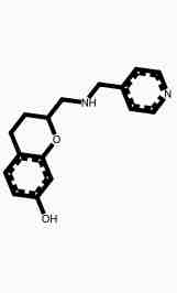 Oc1ccc2c(c1)OC(CNCc1ccncc1)CC2